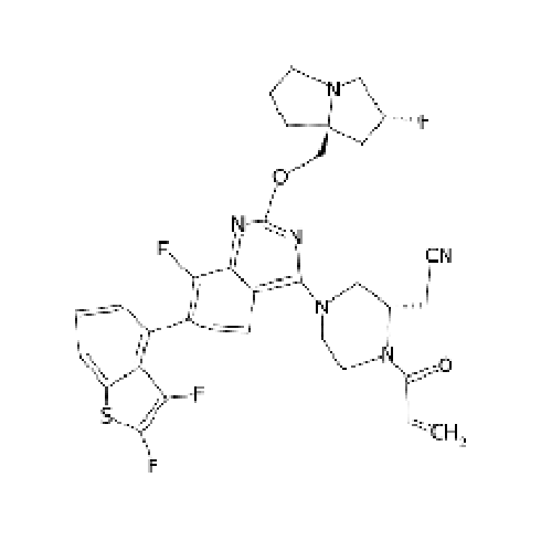 C=CC(=O)N1CCN(c2nc(OC[C@@]34CCCN3C[C@H](F)C4)nc3c(F)c(-c4cccc5sc(F)c(F)c45)ccc23)C[C@@H]1CC#N